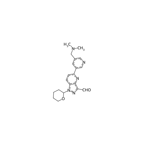 CN(C)Cc1cncc(-c2ccc3c(n2)c(C=O)nn3C2CCCCO2)c1